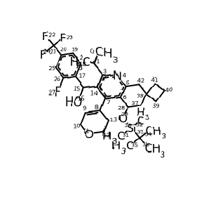 CC(C)c1nc2c(c(C3=CCOCC3)c1C(O)c1ccc(C(F)(F)F)cc1F)[C@H](O[Si](C)(C)C(C)(C)C)CC1(CCC1)C2